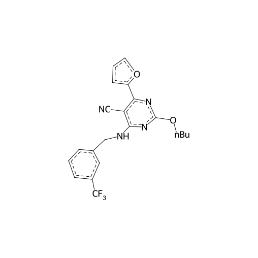 CCCCOc1nc(NCc2cccc(C(F)(F)F)c2)c(C#N)c(-c2ccco2)n1